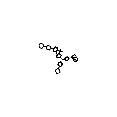 CC1(C)c2ccc(-c3ccc(C4CCCCC4)cc3)cc2-c2ccc(N(c3ccc(C4CCCCC4)cc3)c3ccc(C4C5CC6CC(C5)CC4C6)cc3)cc21